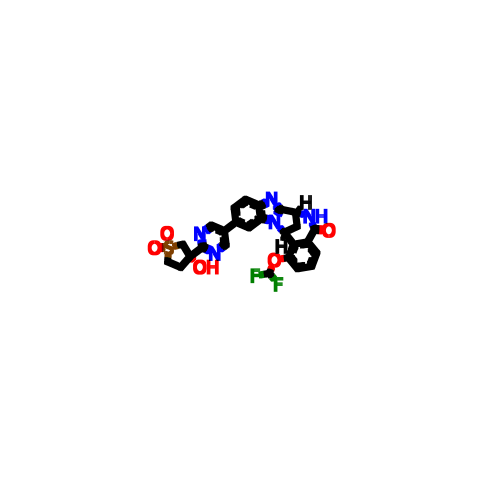 O=C1N[C@@H]2C[C@H](c3c(OC(F)F)cccc31)n1c2nc2ccc(-c3cnc(C4(O)CCS(=O)(=O)C4)nc3)cc21